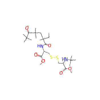 CCC(C)(CC(C)(C)C(=O)C(C)(C)C)C(=O)NC(CSSCC(NC(C)(C)C)C(=O)OC)C(=O)OC